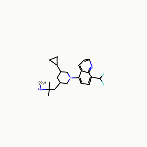 CC(C)(CC1CC(C2CC2)CN(c2ccc(C(F)F)c3ncccc23)C1)NC(=O)O